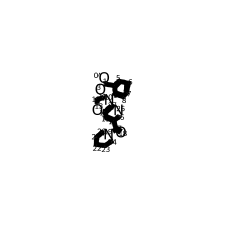 COC(=O)c1ccccc1N1CCOc2cc(C(=O)N3CCCCC3)cnc21